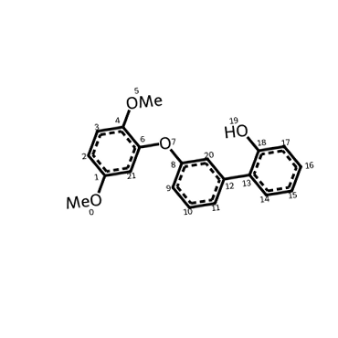 COc1ccc(OC)c(Oc2cccc(-c3ccccc3O)c2)c1